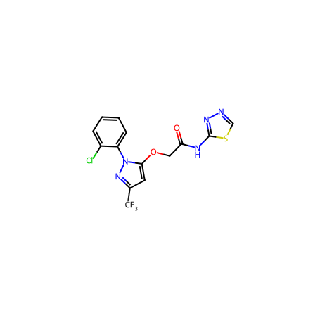 O=C(COc1cc(C(F)(F)F)nn1-c1ccccc1Cl)Nc1nncs1